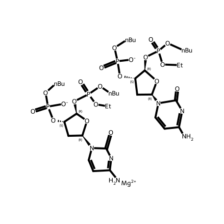 CCCCOP(=O)([O-])O[C@H]1C[C@H](n2ccc(N)nc2=O)O[C@@H]1OP(=O)(OCC)OCCCC.CCCCOP(=O)([O-])O[C@H]1C[C@H](n2ccc(N)nc2=O)O[C@@H]1OP(=O)(OCC)OCCCC.[Mg+2]